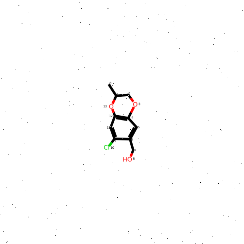 CC1COc2cc(CO)c(Cl)cc2O1